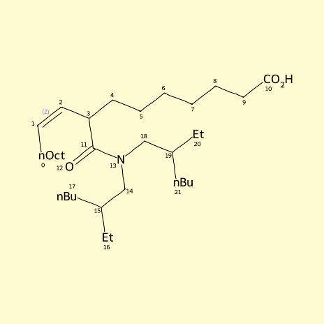 CCCCCCCC/C=C\C(CCCCCCC(=O)O)C(=O)N(CC(CC)CCCC)CC(CC)CCCC